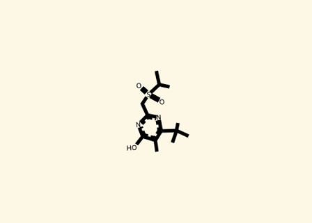 Cc1c(O)nc(CS(=O)(=O)C(C)C)nc1C(C)(C)C